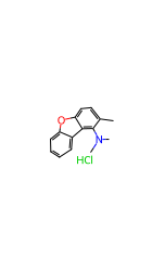 Cc1ccc2oc3ccccc3c2c1N(C)C.Cl